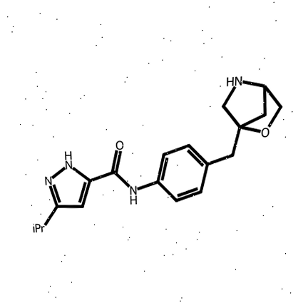 CC(C)c1cc(C(=O)Nc2ccc(CC34CNC(CO3)C4)cc2)[nH]n1